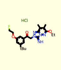 CCOc1nn2c(=N)n(CC(=O)c3cc(OCCF)cc(C(C)(C)C)c3)nc2c(C)c1C.Cl